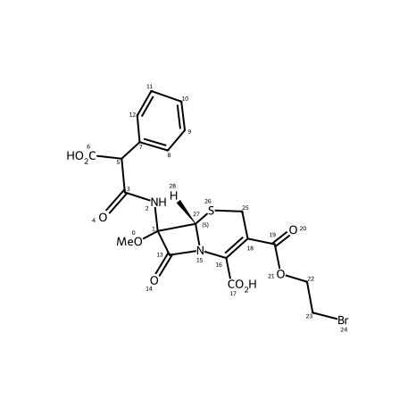 COC1(NC(=O)C(C(=O)O)c2ccccc2)C(=O)N2C(C(=O)O)=C(C(=O)OCCBr)CS[C@H]21